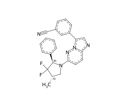 C[C@H]1CN(c2ccc3ncc(-c4cccc(C#N)c4)n3n2)[C@H](c2ccccc2)C1(F)F